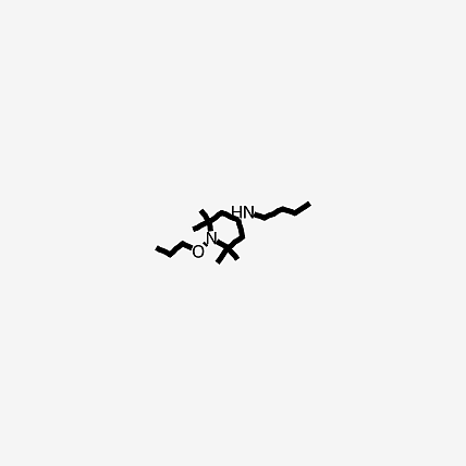 CCCCNC1CC(C)(C)N(OCCC)C(C)(C)C1